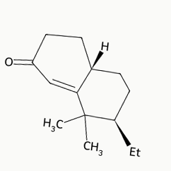 CC[C@@H]1CC[C@H]2CCC(=O)C=C2C1(C)C